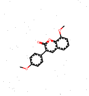 COc1ccc(-c2cc3cccc(OC)c3oc2=O)cc1